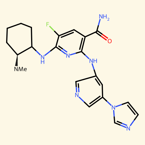 CN[C@H]1CCCCC1Nc1nc(Nc2cncc(-n3ccnc3)c2)c(C(N)=O)cc1F